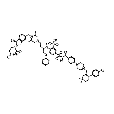 CC1CN(CC[C@H](CSc2ccccc2)Nc2ccc(S(=O)(=O)NC(=O)c3ccc(N4CCN(CC5=C(c6ccc(Cl)cc6)CCC(C)(C)C5)CC4)cc3)cc2S(=O)(=O)C(F)(F)F)CC(C)N1Cc1ccc2c(c1)CN(N1CCC(=O)NC1=O)C2=O